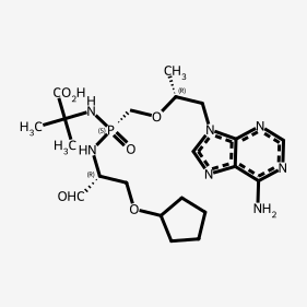 C[C@H](Cn1cnc2c(N)ncnc21)OC[P@](=O)(N[C@@H](C=O)COC1CCCC1)NC(C)(C)C(=O)O